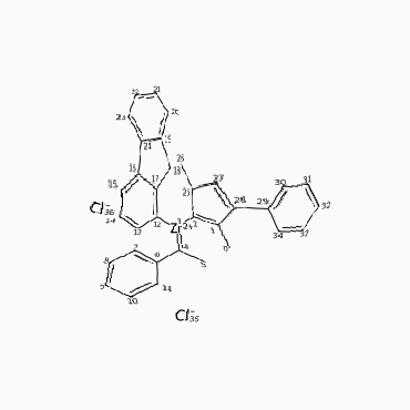 CC1=[C](/[Zr+2](=[C](\C)c2ccccc2)[c]2cccc3c2Cc2ccccc2-3)C(C)C=C1c1ccccc1.[Cl-].[Cl-]